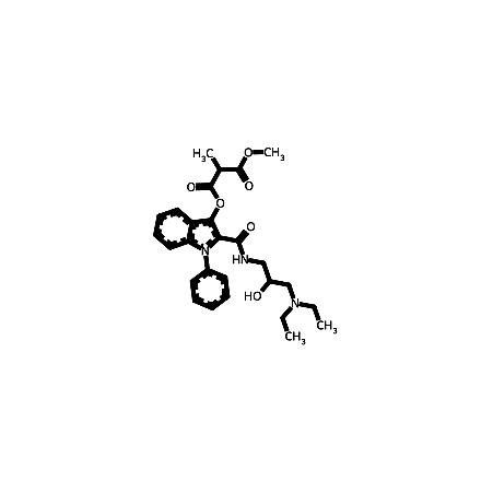 CCN(CC)CC(O)CNC(=O)c1c(OC(=O)C(C)C(=O)OC)c2ccccc2n1-c1ccccc1